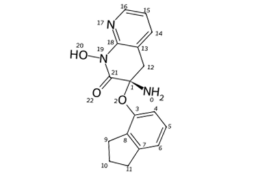 N[C@]1(Oc2cccc3c2CCC3)Cc2cccnc2N(O)C1=O